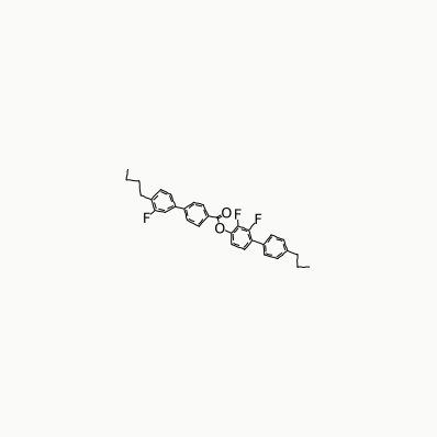 CCCCc1ccc(-c2ccc(C(=O)Oc3ccc(-c4ccc(CCC)cc4)c(F)c3F)cc2)cc1F